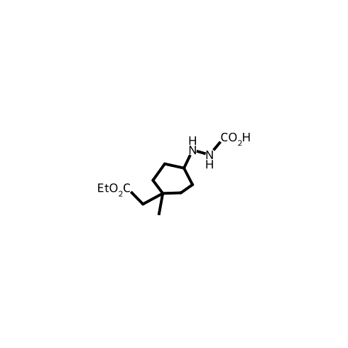 CCOC(=O)CC1(C)CCC(NNC(=O)O)CC1